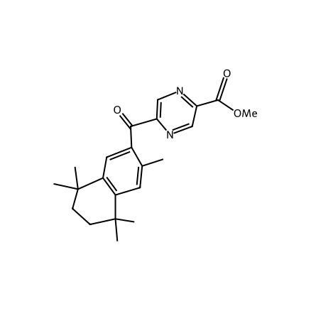 COC(=O)c1cnc(C(=O)c2cc3c(cc2C)C(C)(C)CCC3(C)C)cn1